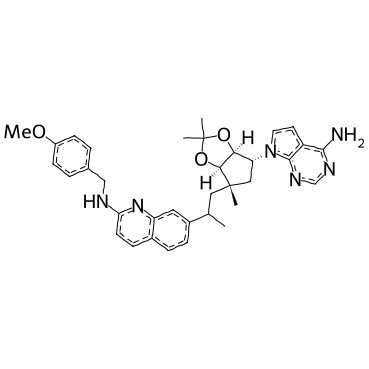 COc1ccc(CNc2ccc3ccc(C(C)C[C@@]4(C)C[C@@H](n5ccc6c(N)ncnc65)[C@@H]5OC(C)(C)O[C@@H]54)cc3n2)cc1